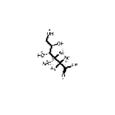 CC(=O)O[C@@](C(C)=O)([C@H](O)[C@H](O)CO)C(C(C)=O)(C(C)=O)C(=O)F